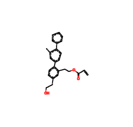 C=CC(=O)OCCc1cc(CCO)ccc1-c1ccc(-c2ccccc2)c(C)c1